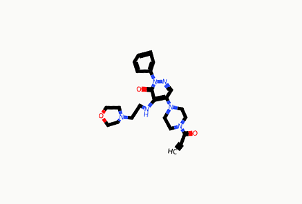 C#CC(=O)N1CCN(c2cnn(-c3ccccc3)c(=O)c2NCCN2CCOCC2)CC1